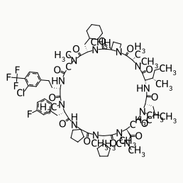 CC[C@H](C)[C@@H]1NC(=O)[C@H](CC(C)C)N(C)C(=O)C[C@@H](C(=O)N(C)C)N(C)C(=O)[C@H](C2CCCC2)N(C)C(=O)C2(CCCC2)NC(=O)[C@H](Cc2cccc(F)c2)N(C)C(=O)[C@H](CCc2ccc(C(F)(F)F)c(Cl)c2)NC(=O)CN(C)C(=O)[C@H](CC2CCCCC2)N(C)C(=O)[C@@H]2CCN2C(=O)[C@H](C)N(C)C1=O